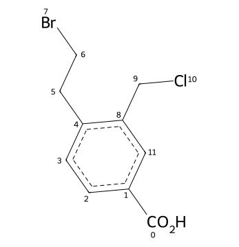 O=C(O)c1ccc(CCBr)c(CCl)c1